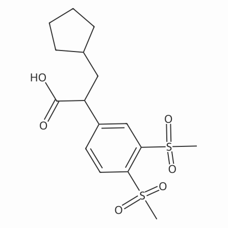 CS(=O)(=O)c1ccc(C(CC2CCCC2)C(=O)O)cc1S(C)(=O)=O